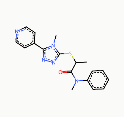 CC(Sc1nnc(-c2ccncc2)n1C)C(=O)N(C)c1ccccc1